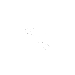 N=CCC(Nc1ccccc1)C(=N)C(=O)/C=C\Nc1cccnc1